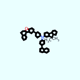 CC1(C)c2ccccc2-c2ccc(N(c3ccc(-c4ccc5oc6ccc7ccccc7c6c5c4)cc3)c3ccc(-c4cccc5ccccc45)cc3)cc21